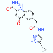 NC(=O)c1cc(=O)c2cc(CC(=O)Nc3cc(C4CC4)[nH]n3)ccc2[nH]1